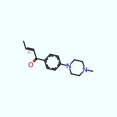 C/C=C/C(=O)c1ccc(N2CCN(C)CC2)cc1